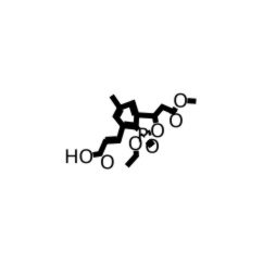 CCOP1(=O)OC(CC(=O)OC)c2cc(C)cc(C=CC(=O)O)c21